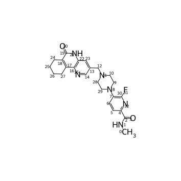 CNC(=O)c1ccc(N2CCN(Cc3cnc4c5c(c(=O)[nH]c4c3)CCCC5)CC2)c(F)n1